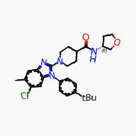 Cc1cc2nc(N3CCC(C(=O)N[C@@H]4CCOC4)CC3)n(-c3ccc(C(C)(C)C)cc3)c2cc1Cl